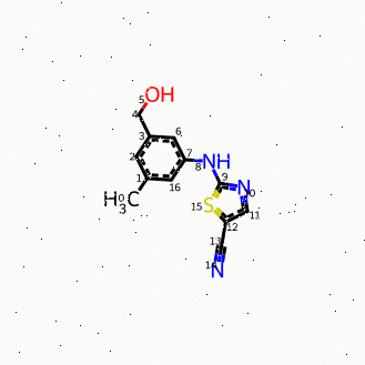 Cc1cc(CO)cc(Nc2ncc(C#N)s2)c1